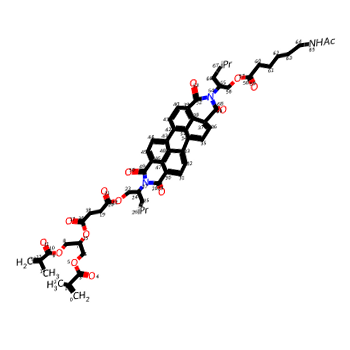 C=C(C)C(=O)OCC(COC(=O)C(=C)C)OC(=O)CCC(=O)OCC(CC(C)C)N1C(=O)c2ccc3c4ccc5c6c(ccc(c7ccc(c2c37)C1=O)c64)C(=O)N(C(COC(=O)CCCCCNC(C)=O)CC(C)C)C5=O